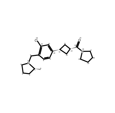 C[C@@H]1CCCN1Cc1ccc([C@H]2C[C@@H](C(=O)N3CCCC3)C2)cc1Cl